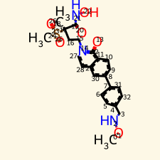 CONCc1ccc(-c2ccc3c(=O)n(CCC(C)(C(=O)NO)S(C)(=O)=O)ccc3c2)cc1